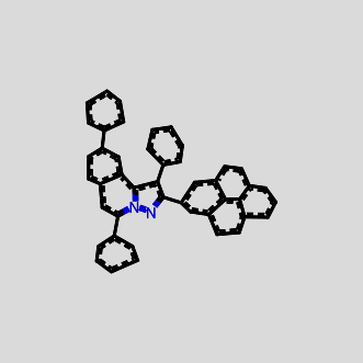 c1ccc(-c2ccc3cc(-c4ccccc4)n4nc(-c5cc6ccc7cccc8ccc(c5)c6c78)c(-c5ccccc5)c4c3c2)cc1